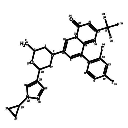 CC1CN(c2cc(-c3ccc(F)cc3F)c3nc(C(F)(F)F)cc(=O)n3c2)CC(c2cnn(C3CC3)c2)O1